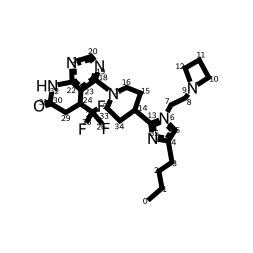 CCCCc1cn(CCN2CCC2)c(C2CCN(c3ncnc4c3C(C(F)(F)F)CC(=O)N4)CC2)n1